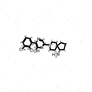 N[C@@H]1CCCC12CCN(c1cnc(-c3cccc(Cl)c3Cl)c(O)n1)CC2